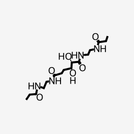 CCC(=O)NCCNC(=O)CC[C@@H](O)[C@H](O)C(=O)NCCNC(=O)CC